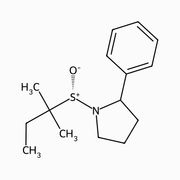 CCC(C)(C)[S@+]([O-])N1CCCC1c1ccccc1